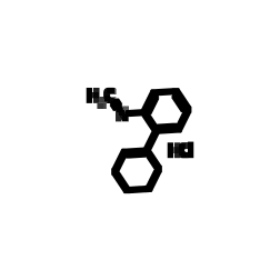 C=Nc1ccccc1C1=CCCCC1.Cl